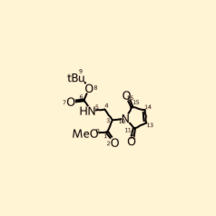 COC(=O)C(CNC(=O)OC(C)(C)C)N1C(=O)C=CC1=O